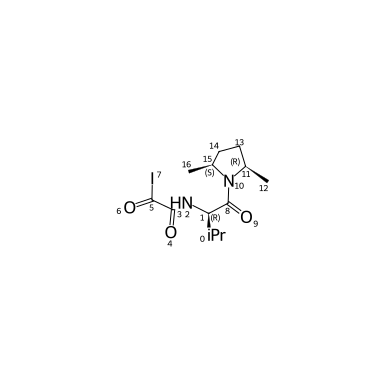 CC(C)[C@@H](NC(=O)C(=O)I)C(=O)N1[C@H](C)CC[C@@H]1C